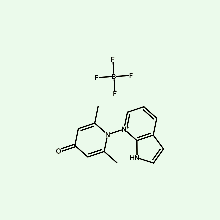 Cc1cc(=O)cc(C)n1-[n+]1cccc2cc[nH]c21.F[B-](F)(F)F